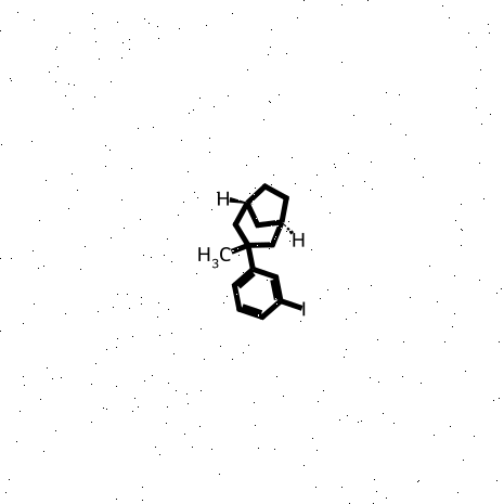 CC1(c2cccc(I)c2)C[C@@H]2CC[C@H](C2)C1